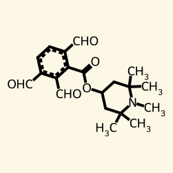 CN1C(C)(C)CC(OC(=O)c2c(C=O)ccc(C=O)c2C=O)CC1(C)C